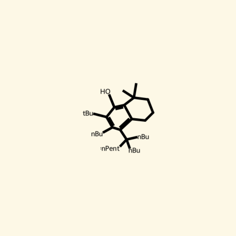 CCCC[C]C(CCCC)(CCCC)c1c(CCCC)c(C(C)(C)C)c(O)c2c1CCCC2(C)C